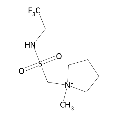 C[N+]1(CS(=O)(=O)NCC(F)(F)F)CCCC1